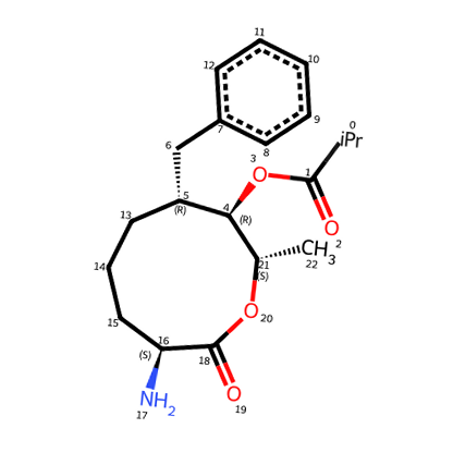 CC(C)C(=O)O[C@@H]1[C@@H](Cc2ccccc2)CCC[C@H](N)C(=O)O[C@H]1C